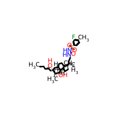 CCCC[C@@H](O)C[C@@H]1C[C@H]2CC[C@]3(C)[C@@H]([C@H](C)CCNC(=O)NS(=O)(=O)c4ccc(C)c(F)c4)CC[C@H]3[C@@H]2[C@H](O)[C@@H]1CC